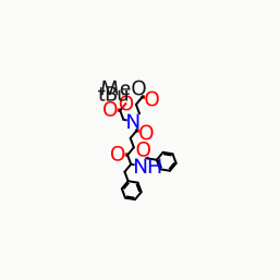 COC(=O)CCN(CC(=O)OC(C)(C)C)C(=O)CCC(=O)C(Cc1ccccc1)NC(=O)c1ccccc1